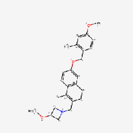 CCCOc1ccc(COc2ccc3c(c2)CCC(CN2CC(OC(=O)O)C2)=C3C)c(C(F)(F)F)c1